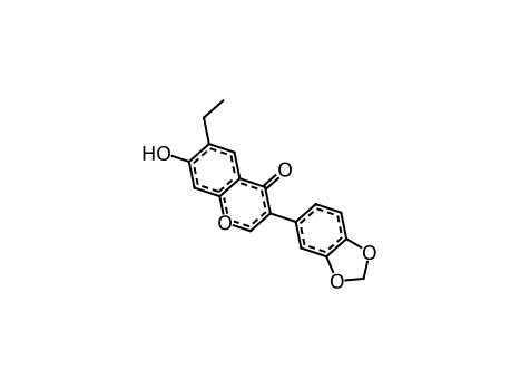 CCc1cc2c(=O)c(-c3ccc4c(c3)OCO4)coc2cc1O